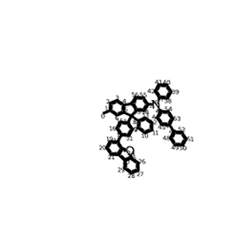 Cc1ccc2c(c1)C(c1ccccc1)(c1ccc(-c3cccc4c3oc3ccccc34)cc1)c1cc(N(c3ccccc3)c3ccc(-c4ccccc4)cc3)ccc1-2